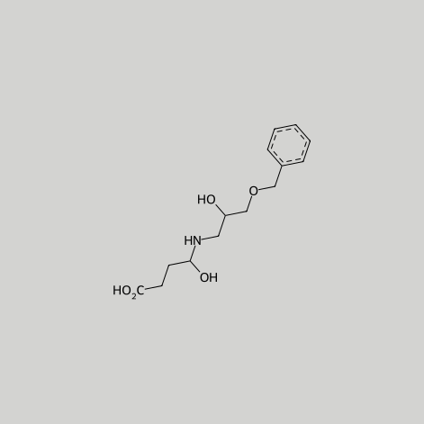 O=C(O)CCC(O)NCC(O)COCc1ccccc1